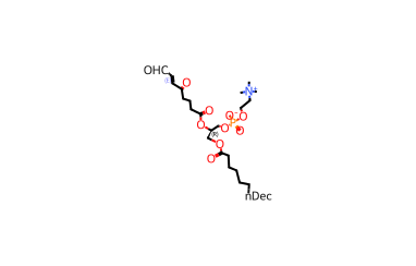 CCCCCCCCCCCCCCCC(=O)OC[C@H](COP(=O)([O-])OCC[N+](C)(C)C)OC(=O)CCCC(=O)/C=C/C=O